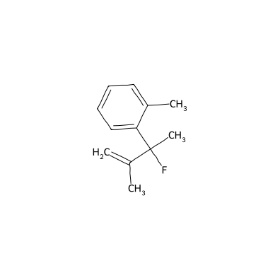 C=C(C)C(C)(F)c1ccccc1C